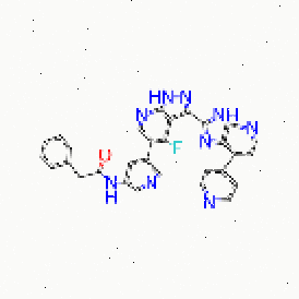 O=C(Cc1ccccc1)Nc1cncc(-c2cnc3[nH]nc(-c4nc5c(-c6ccncc6)ccnc5[nH]4)c3c2F)c1